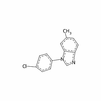 Cc1ccc2ncn(-c3ccc(Cl)cc3)c2c1